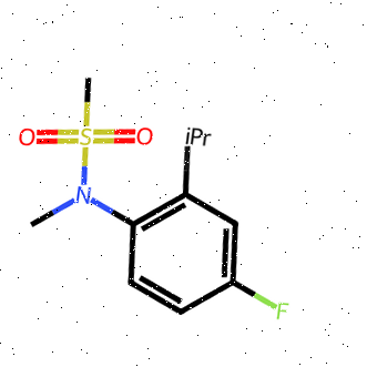 CC(C)c1cc(F)ccc1N(C)S(C)(=O)=O